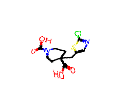 O=C(O)N1CCC(Cc2cnc(Cl)s2)(C(=O)O)CC1